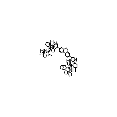 COC(=O)N[C@H](C(=O)N1C2CC[C@@H](C2)[C@H]1c1ncc(-c2ccc3c(c2)CCc2cc(-c4cnc([C@@H]5CCCN5C(=O)[C@@H](NC(=O)OC)C5CCOCC5)[nH]4)ccc2-3)[nH]1)C(C)C